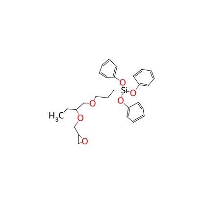 CCC(COCCC[Si](Oc1ccccc1)(Oc1ccccc1)Oc1ccccc1)OCC1CO1